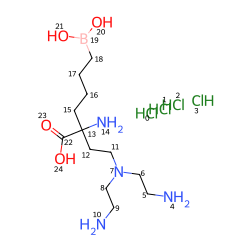 Cl.Cl.Cl.Cl.NCCN(CCN)CCC(N)(CCCCB(O)O)C(=O)O